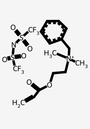 C=CC(=O)OCC[N+](C)(C)Cc1ccccc1.O=S(=O)([N-]S(=O)(=O)C(F)(F)F)C(F)(F)F